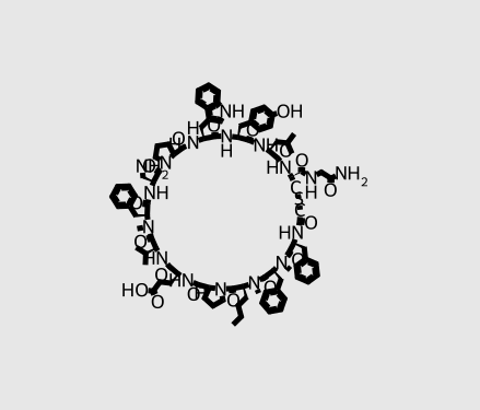 CCCC[C@H]1C(=O)N2CCC[C@@H]2C(=O)N[C@@H](CCC(=O)O)C(=O)N[C@@H](C(C)C)C(=O)N(C)[C@@H](Cc2ccccc2)C(=O)N[C@@H](CN)C(=O)N2CCC[C@@H]2C(=O)N[C@@H](Cc2c[nH]c3ccccc23)C(=O)N[C@@H](Cc2ccc(O)cc2)C(=O)N[C@@H](CC(C)C)C(=O)N[C@H](C(=O)NCC(N)=O)CSCC(=O)N[C@@H](Cc2ccccc2)C(=O)N(C)[C@@H](Cc2ccccc2)C(=O)N1C